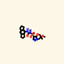 COC1(C)COc2c(S(=O)(=O)NC(=O)Nc3c4c(cc5c3CCC5)CCC4)cnn2C1